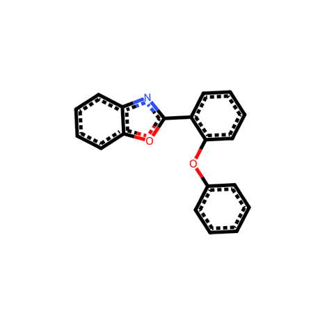 c1ccc(Oc2ccccc2-c2nc3ccccc3o2)cc1